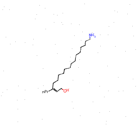 CCCC(=CCO)CCCCCCCCCCCCCCN